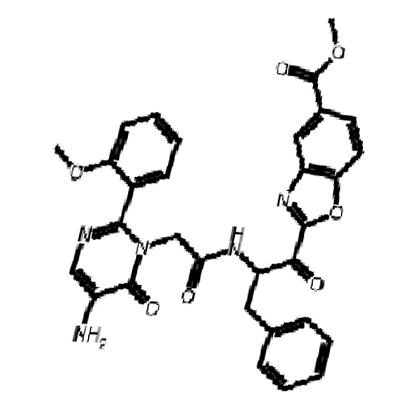 COC(=O)c1ccc2oc(C(=O)C(Cc3ccccc3)NC(=O)Cn3c(-c4ccccc4OC)ncc(N)c3=O)nc2c1